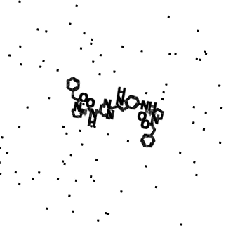 O=C(Nc1cnc(-c2cc3cc(NC(=O)[C@@H]4CCCN4C(=O)Cc4ccccc4)ccc3[nH]2)nc1)[C@@H]1CCCN1C(=O)Cc1ccccc1